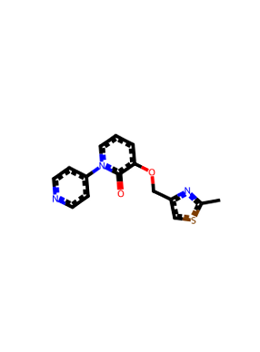 Cc1nc(COc2cccn(-c3ccncc3)c2=O)cs1